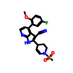 COc1ccc(F)cc1-c1ccnc2[nH]c(C3C=CN(S(C)(=O)=O)CC3)c(C#N)c12